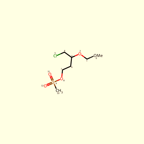 COCOC(CCl)CCOS(C)(=O)=O